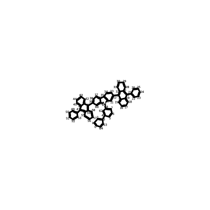 c1ccc(-c2cccc(-n3c4cc(-c5c6ccccc6c(-c6ccccc6)c6ccccc56)ccc4c4ccc(-c5c6ccccc6c(-c6ccccc6)c6ccccc56)cc43)c2)cc1